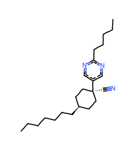 CCCCCCC[C@H]1CC[C@@](C#N)(c2cnc(CCCCC)nc2)CC1